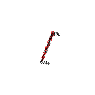 COCCOCCOCCOCCOCCOCCOCCOCCOCCOCCC(=O)OC(C)(C)C